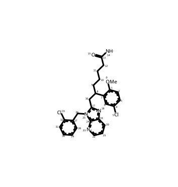 COc1ccc(Cl)cc1C(CCCCC([NH])=O)Cc1nc2cccnc2n1Cc1ccccc1Cl